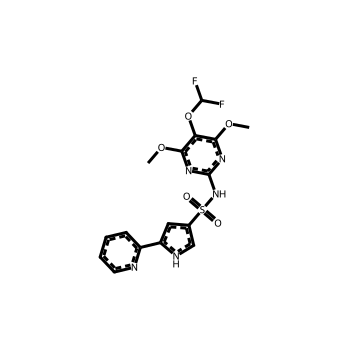 COc1nc(NS(=O)(=O)c2c[nH]c(-c3ccccn3)c2)nc(OC)c1OC(F)F